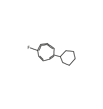 FC1=C=C=C/C(C2CCCCC2)=C\C=C/1